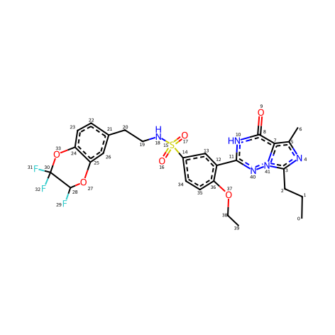 CCCc1nc(C)c2c(=O)[nH]c(-c3cc(S(=O)(=O)NCCc4ccc5c(c4)OC(F)C(F)(F)O5)ccc3OCC)nn12